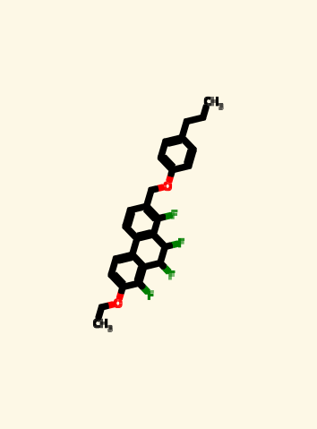 CCCc1ccc(OCc2ccc3c(c2F)C(F)C(F)c2c-3ccc(OCC)c2F)cc1